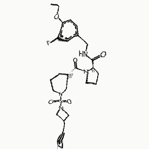 CCOc1ccc(CNC(=O)[C@H]2CCCN2C(=O)[C@H]2CCCN(S(=O)(=O)N3CC(C#N)C3)C2)cc1F